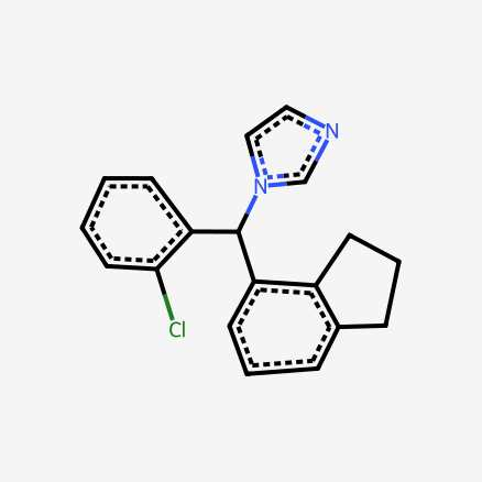 Clc1ccccc1C(c1cccc2c1CCC2)n1ccnc1